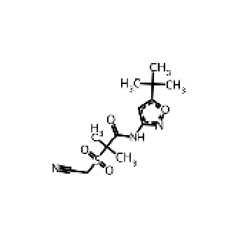 CC(C)(C)c1cc(NC(=O)C(C)(C)S(=O)(=O)CC#N)no1